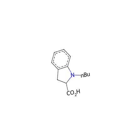 CCCCN1c2ccccc2CC1C(=O)O